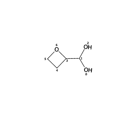 OC(O)C1CCO1